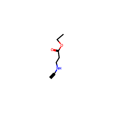 C#CNCCC(=O)OCC